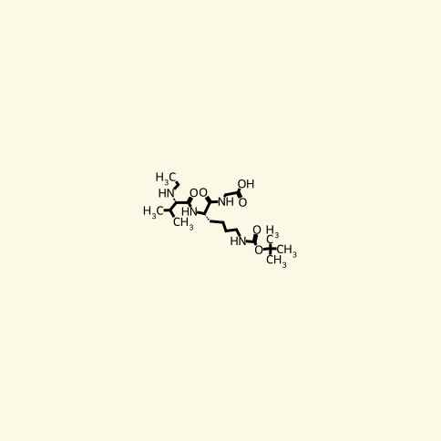 CCN[C@H](C(=O)N[C@@H](CCCCNC(=O)OC(C)(C)C)C(=O)NCC(=O)O)C(C)C